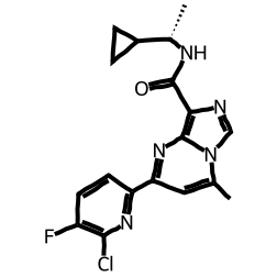 Cc1cc(-c2ccc(F)c(Cl)n2)nc2c(C(=O)N[C@@H](C)C3CC3)ncn12